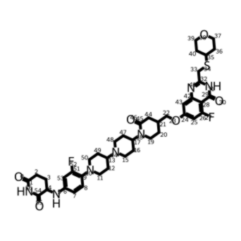 O=C1CCC(Nc2ccc(N3CCC(N4CCC(N5CCC(COc6cc(F)c7c(=O)[nH]c(CSC8CCOCC8)nc7c6)CC5=O)CC4)CC3)c(F)c2)C(=O)N1